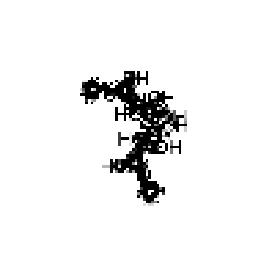 O=C(N[C@H]1[C@@H](O)[C@@H](CO)O[C@@H](S[C@@H]2O[C@H](CO)[C@H](O)[C@H](NC(=O)c3cc(O)cc(OCc4ccccc4)c3)[C@H]2O)[C@@H]1O)c1cc(O)cc(OCc2ccccc2)c1